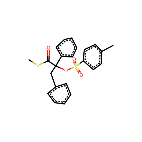 CSC(=O)C(Cc1ccccc1)(OS(=O)(=O)c1ccc(C)cc1)c1ccccc1